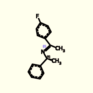 C/C(=N\[C@@H](C)c1ccccc1)c1ccc(F)cc1